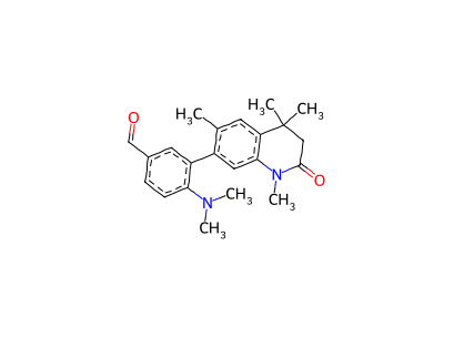 Cc1cc2c(cc1-c1cc(C=O)ccc1N(C)C)N(C)C(=O)CC2(C)C